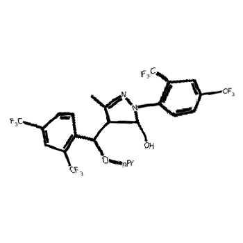 CCCOC(c1ccc(C(F)(F)F)cc1C(F)(F)F)C1C(C)=NN(c2ccc(C(F)(F)F)cc2C(F)(F)F)C1O